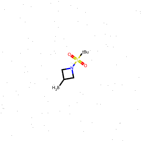 BC1CN(S(=O)(=O)C(C)(C)C)C1